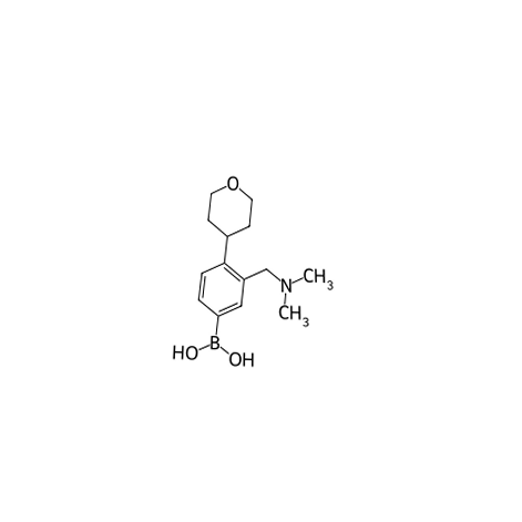 CN(C)Cc1cc(B(O)O)ccc1C1CCOCC1